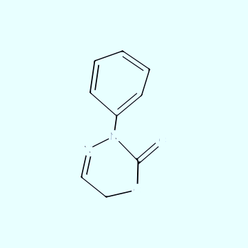 O=C1OCC=NN1c1ccccc1